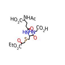 CCOC(=O)C(=O)CSCC(NC(=O)CCC(NC(C)=O)C(=O)O)C(=O)NCC(=O)O